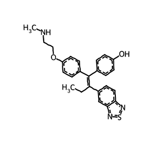 CC/C(=C(/c1ccc(O)cc1)c1ccc(OCCNC)cc1)c1ccc2nsnc2c1